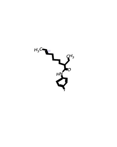 C/C=C/CCCCC(CC)C(=O)Nc1ccc(I)cc1